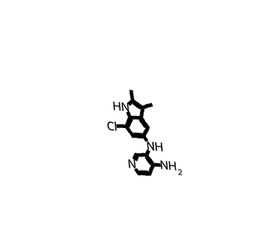 Cc1[nH]c2c(Cl)cc(Nc3cnccc3N)cc2c1C